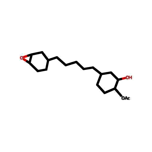 CC(=O)OC1CCC(CCCCCC2CCC3OC3C2)CC1O